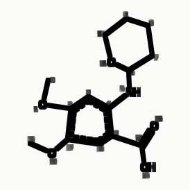 COc1cc(NC2CCCCO2)c(C(=O)O)cc1OC